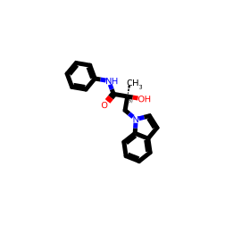 C[C@](O)(Cn1ccc2ccccc21)C(=O)Nc1ccccc1